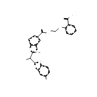 CC(C)COC(=O)c1ccccc1OCCNC(=O)c1ccc2nc(C(C)c3nc4cc(O)ccc4[nH]3)n(C)c2c1